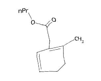 CCCOC(=O)C1=C(C)CCC=C1